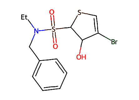 CCN(Cc1ccccc1)S(=O)(=O)C1SC=C(Br)C1O